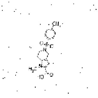 Cc1ccc(S(=O)(=O)N2CCc3c(cc(C(=O)O)n3C)C2)cc1